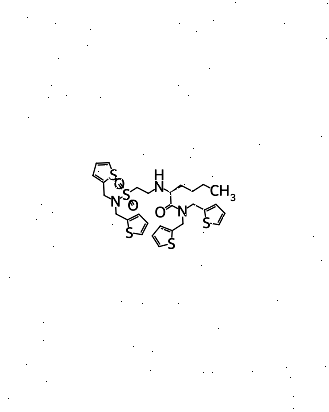 CCCC[C@H](NCCS(=O)(=O)N(Cc1cccs1)Cc1cccs1)C(=O)N(Cc1cccs1)Cc1cccs1